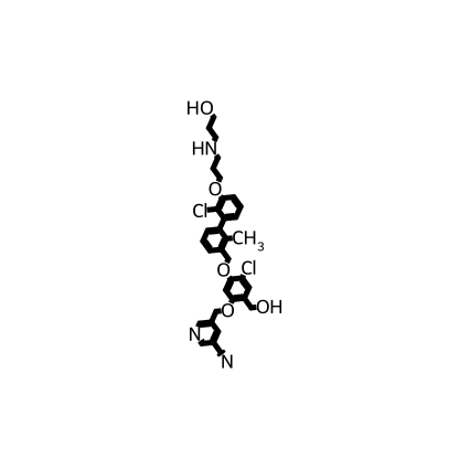 Cc1c(COc2cc(OCc3cncc(C#N)c3)c(CO)cc2Cl)cccc1-c1cccc(OCCCNCCCO)c1Cl